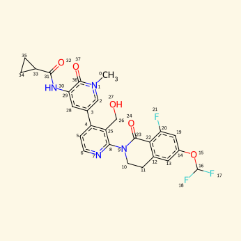 Cn1cc(-c2ccnc(N3CCc4cc(OC(F)F)cc(F)c4C3=O)c2CO)cc(NC(=O)C2CC2)c1=O